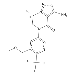 COCc1cc(N2C[C@H](C)n3ncc(N)c3C2=O)ccc1C(F)(F)F